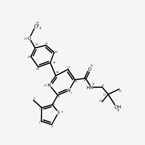 Cc1ccsc1-c1nc(C(=O)NCC(C)(C)O)cc(-c2ccc(OC(F)(F)F)cc2)n1